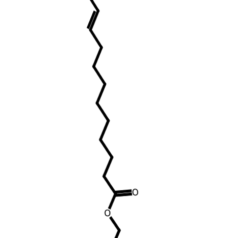 C/C=C/CCCCCCCCC(=O)OCC